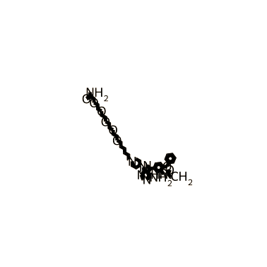 C=CC(=O)Nc1cc(-c2nn(C3CCN(CCCCCCOCCOCCOCCOCCOCC(N)=O)CC3)c3ncnc(N)c23)ccc1Oc1ccccc1